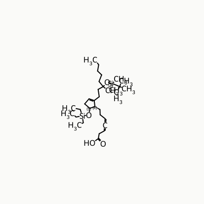 CCCCCC(C)(CCC1=CC[C@H](O[Si](CC)(CC)CC)[C@@H]1CCC=C=CCC(=O)O)O[Si](C)(C)C(C)(C)C